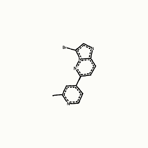 Cc1cc(-c2ccc3ncc(Br)n3n2)ccn1